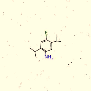 CC(C)c1cc(F)c(C(C)C)cc1N